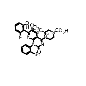 Cc1cc2c(N3CCN(C(=O)O)C[C@@H]3C)nc(=O)n(-c3ccccc3C(C)C)c2nc1-c1c(O)cccc1F